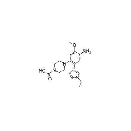 CCn1cc(-c2cc(N)c(OC)cc2N2CCN(C(=O)O)CC2)cn1